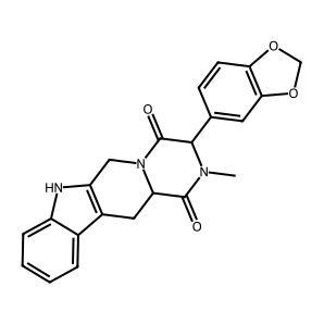 CN1C(=O)C2Cc3c([nH]c4ccccc34)CN2C(=O)C1c1ccc2c(c1)OCO2